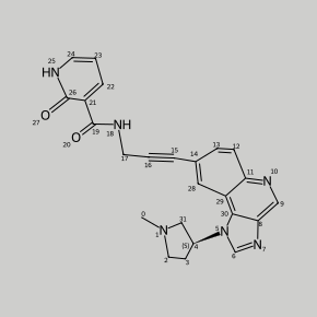 CN1CC[C@H](n2cnc3cnc4ccc(C#CCNC(=O)c5ccc[nH]c5=O)cc4c32)C1